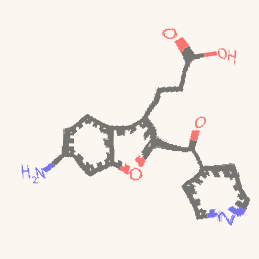 Nc1ccc2c(CCC(=O)O)c(C(=O)c3ccncc3)oc2c1